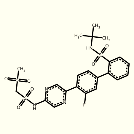 CC(C)(C)NS(=O)(=O)c1ccccc1-c1ccc(-c2cnc(NS(=O)(=O)CS(C)(=O)=O)cn2)c(F)c1